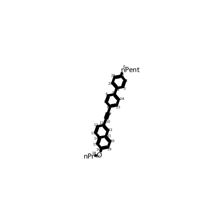 CCCCCc1ccc(-c2ccc(C#Cc3ccc4cc(OCCC)ccc4c3)cc2)cc1